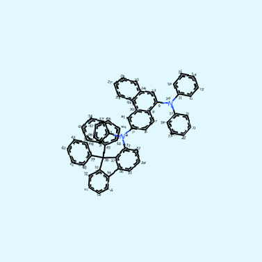 c1ccc(N(c2ccc3c(N(c4ccccc4)c4ccccc4)cc4ccccc4c3c2)c2cccc3c2C(c2ccccc2)(c2ccccc2)c2ccccc2-3)cc1